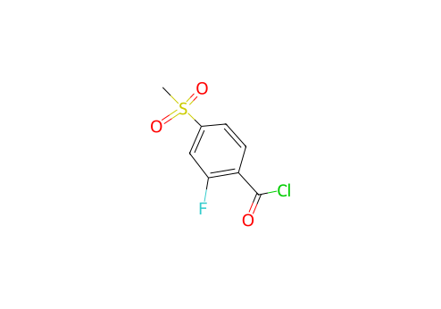 CS(=O)(=O)c1ccc(C(=O)Cl)c(F)c1